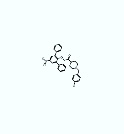 O=C(COc1c(-c2ccccc2)cc([N+](=O)[O-])cc1-c1ccccc1)N1CCN(Cc2ccc(Cl)cc2)CC1